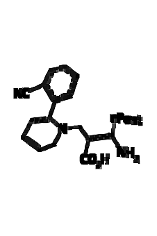 CCCCC/C(N)=C(\CN1CC=CC=C1c1ccccc1C#N)C(=O)O